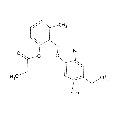 CCC(=O)Oc1cccc(C)c1COc1cc(C)c(CC)cc1Br